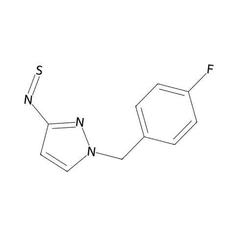 Fc1ccc(Cn2ccc(N=S)n2)cc1